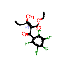 CCOC(=O)/C(C(=O)c1c(F)c(F)c(F)c(F)c1F)=C(\O)CC